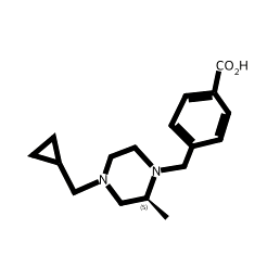 C[C@H]1CN(CC2CC2)CCN1Cc1ccc(C(=O)O)cc1